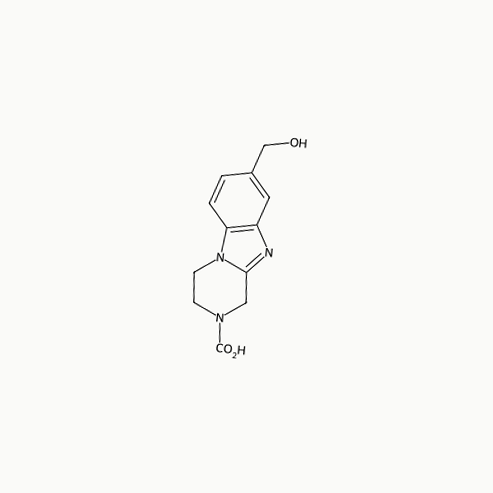 O=C(O)N1CCn2c(nc3cc(CO)ccc32)C1